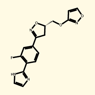 Fc1cc(C2=NO[C@H](COc3ccon3)C2)ccc1-c1ncc[nH]1